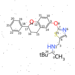 CC(NCc1cnc(Oc2ccc3c(c2)CCC(c2ccccc2)O3)s1)C(C)(C)C